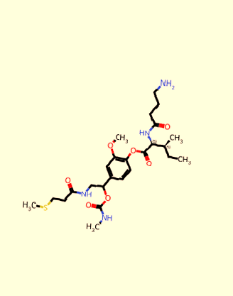 CC[C@H](C)[C@H](NC(=O)CCCN)C(=O)Oc1ccc(C(CNC(=O)CCSC)OC(=O)NC)cc1OC